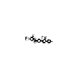 CCC1C=C(F)C(OC(=O)c2ccc(-c3ccc(-c4ccc(C)cc4)c(F)c3F)cc2)CC1